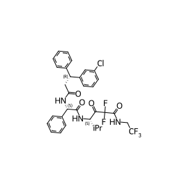 CC(C)[C@H](NC(=O)[C@@H](NC(=O)C[C@H](c1ccccc1)c1cccc(Cl)c1)c1ccccc1)C(=O)C(F)(F)C(=O)NCC(F)(F)F